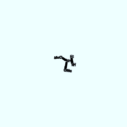 CCS.CO[SiH2]OC